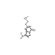 COCCc1nc(Cl)c2cnn(C(C)C)c2n1